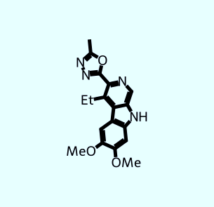 CCc1c(-c2nnc(C)o2)ncc2[nH]c3cc(OC)c(OC)cc3c12